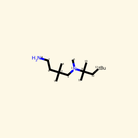 CN(CC(C)(C)CCN)C(C)(C)CC(C)(C)C